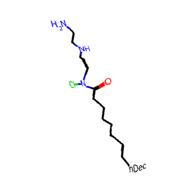 CCCCCCCCCCCCCCCCCC(=O)N(Cl)CCNCCN